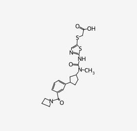 CN(C(=O)Nc1ncc(SCC(=O)O)s1)C1CCC(c2cccc(C(=O)N3CCC3)c2)C1